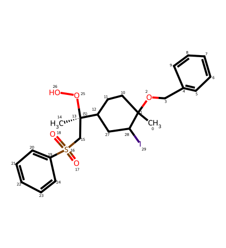 CC1(OCc2ccccc2)CCC([C@@](C)(CS(=O)(=O)c2ccccc2)OO)CC1I